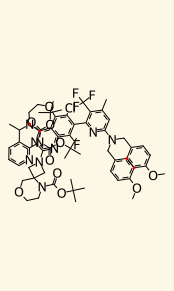 COc1ccc(CN(Cc2ccc(OC)cc2)c2cc(C)c(C(F)(F)F)c(-c3c(Cl)c4c5c(nc(N6CC7(COCCN7C(=O)OC(C)(C)C)C6)nc5c3F)N(C(C)c3cccnc3N(C(=O)OC(C)(C)C)C(=O)OC(C)(C)C)CCO4)n2)cc1